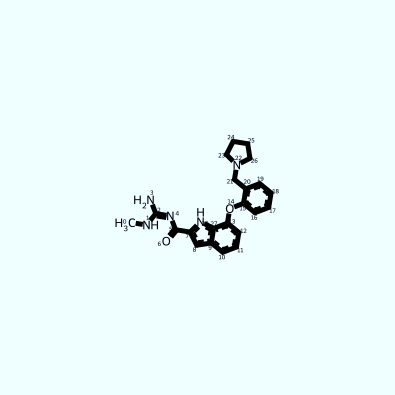 CNC(N)=NC(=O)c1cc2cccc(Oc3ccccc3CN3CCCC3)c2[nH]1